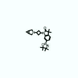 CC1(C)C(=O)N(C2CC(N3CC4CC4C3)C2)c2cc(B3OC(C)(C)C(C)(C)O3)ccc21